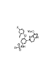 CCS(=O)(=O)Nc1ccc(Oc2ccc(F)cc2F)c(-c2ccc3nnc(OC)n3n2)c1